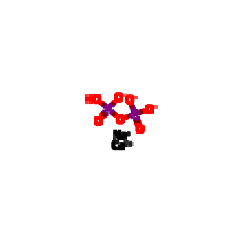 O=P([O-])([O-])OP(=O)([O-])O.[Ca+2].[Na+]